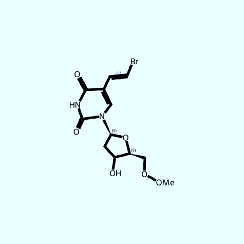 COOC[C@@H]1O[C@H](n2cc(/C=C/Br)c(=O)[nH]c2=O)CC1O